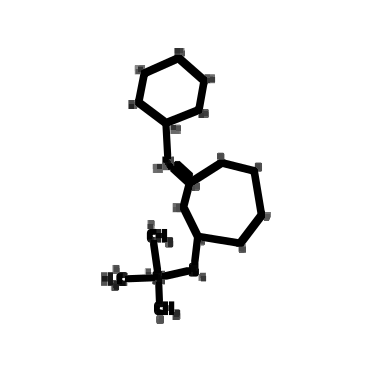 C[Si](C)(C)SC1CCCCC(=NC2CCCCC2)C1